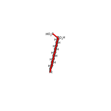 CC(=O)COCCOCCCC(=O)COCCOCCNC(=O)COCCOCCNC(=O)COCCOCCNC(=O)COCCOCCNC(=O)COCCOCCNC(=O)COCCOCCNC(=O)COCCOCCNC(=O)COCCOCCNC(=O)COCCOCCNC(=O)CC[C@H](CC(=O)CCCCCCCCCCCCCCCCC(=O)O)C(=O)O